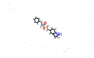 CN(Cc1ccccc1)S(=O)(=O)CCc1ccc2[nH]ccc2c1